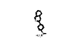 CN(C(=O)O)c1ccc(-c2cc3ccccc3cn2)cc1